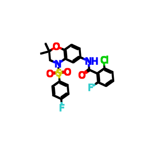 CC1(C)CN(S(=O)(=O)c2ccc(F)cc2)c2cc(NC(=O)c3c(F)cccc3Cl)ccc2O1